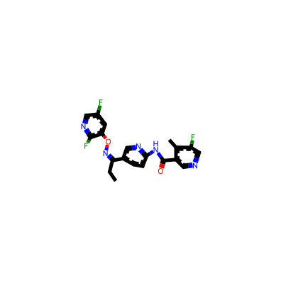 CC/C(=N/Oc1cc(F)cnc1F)c1ccc(NC(=O)c2cncc(F)c2C)nc1